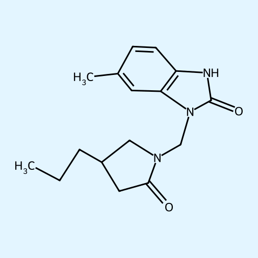 CCCC1CC(=O)N(Cn2c(=O)[nH]c3ccc(C)cc32)C1